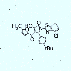 Cc1ccc(C(=O)C2=C(O)C(=O)N(c3nc4c(Cl)cccc4s3)C2c2ccc(C(C)(C)C)cc2)o1